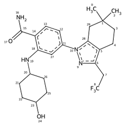 CC1(C)CCc2c(CC(F)(F)F)nn(-c3ccc(C(N)=O)c(NC4CCC(O)CC4)c3)c2C1